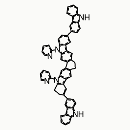 C1=C(c2ccc3[nH]c4ccccc4c3c2)CCc2c1c1cc3c(cc1n2-c1ccccn1)-c1cc2c(cc1CC3)c1cc(-c3ccc4[nH]c5ccccc5c4c3)ccc1n2-c1ccccn1